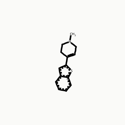 CN1CC=C(c2cc3ccccc3s2)CC1